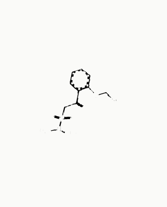 CN(C)S(=O)(=O)CC(=O)c1ccccc1OCN